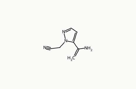 C=C(N)c1ccnn1CC#N